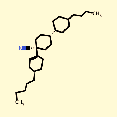 CCCCC[C@H]1CC=C([C@]2(C#N)CC[C@@H](C3CCC(CCCC)CC3)CC2)CC1